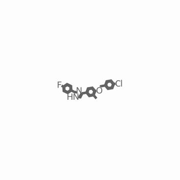 Cc1cc(-c2c[nH]c(-c3ccc(F)cc3)n2)ccc1OCc1ccc(Cl)cc1